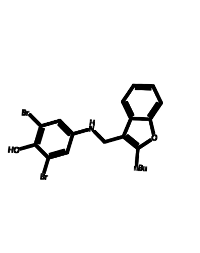 CCCCc1oc2ccccc2c1CNc1cc(Br)c(O)c(Br)c1